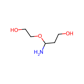 NC(CCO)OCCO